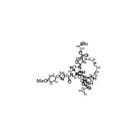 COc1ccc(-c2csc(C(=O)N3C[C@H]4CN5C(=O)[C@@H](NC(=O)OCCC(C)(C)C)CCCCC/C=C\[C@H]6C[C@@]6(C(=O)NS(=O)(=O)C6CC6)NC(=O)[C@@H]5[C@H]4C3)n2)cc1